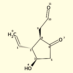 C=C[C@H]1[C@H](O)CC(=O)[C@@H]1CC=O